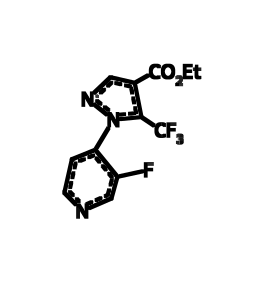 CCOC(=O)c1cnn(-c2ccncc2F)c1C(F)(F)F